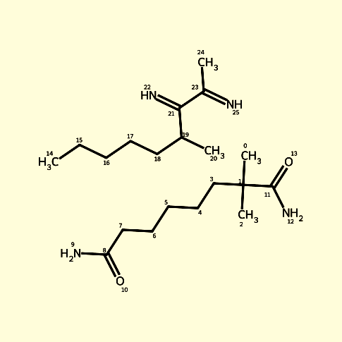 CC(C)(CCCCCC(N)=O)C(N)=O.CCCCCC(C)C(=N)C(C)=N